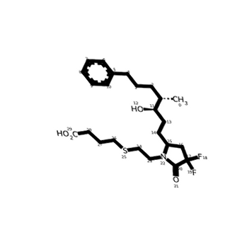 C[C@@H](CCCc1ccccc1)[C@H](O)CCC1CC(F)(F)C(=O)N1CCSCCCC(=O)O